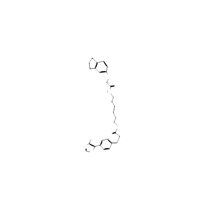 Cc1ncsc1-c1ccc([C@@H](C)CC(=O)NCCCCCCNC(=O)COc2ccc3c(c2)CCC3)cc1